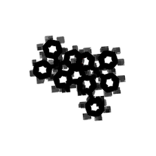 c1ccc([Si](c2ccccc2)(c2ccccc2)c2ccnc3c2ccc2c([Si](c4ccccc4)(c4ccccc4)c4ccccc4)cc(-c4ccccn4)nc23)cc1